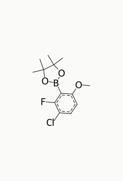 COc1ccc(Cl)c(F)c1B1OC(C)(C)C(C)(C)O1